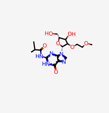 COCCOC1C(O)[C@@H](CO)O[C@H]1n1cnc2c(=O)[nH]c(NC(=O)C(C)C)nc21